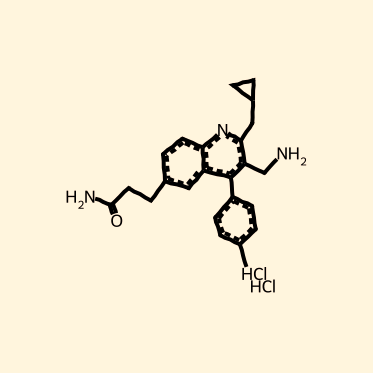 Cc1ccc(-c2c(CN)c(CC3CC3)nc3ccc(CCC(N)=O)cc23)cc1.Cl.Cl